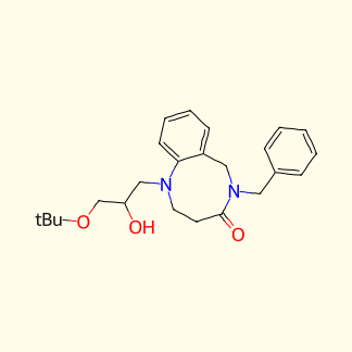 CC(C)(C)OCC(O)CN1CCC(=O)N(Cc2ccccc2)Cc2ccccc21